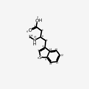 O=C(O)CC(Cc1csc2ccccc12)NI